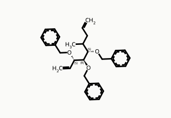 C=CCC(C)[C@H](OCc1ccccc1)[C@@H](OCc1ccccc1)[C@H](C=C)OCc1ccccc1